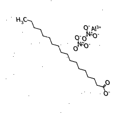 CCCCCCCCCCCCCCCCCC(=O)[O-].O=[N+]([O-])[O-].O=[N+]([O-])[O-].[Al+3]